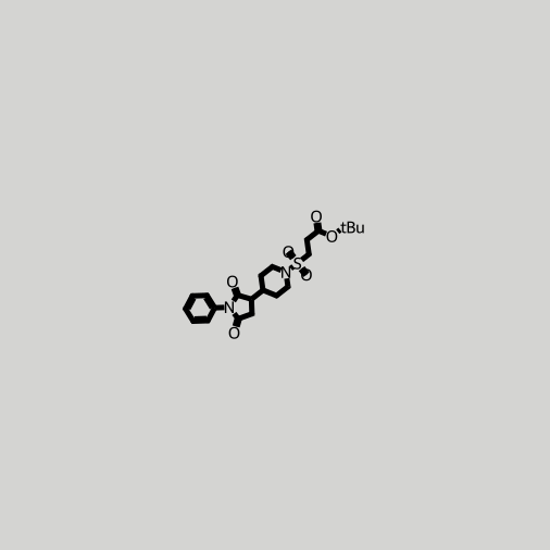 CC(C)(C)OC(=O)CCS(=O)(=O)N1CCC(C2CC(=O)N(c3ccccc3)C2=O)CC1